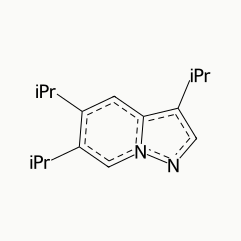 CC(C)c1cc2c(C(C)C)cnn2cc1C(C)C